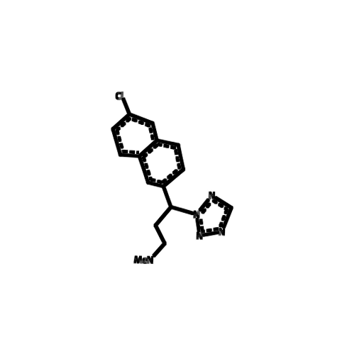 CNCCC(c1ccc2cc(Cl)ccc2c1)n1ncnn1